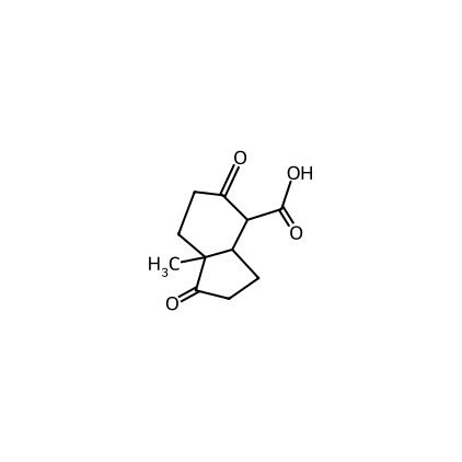 CC12CCC(=O)C(C(=O)O)C1CCC2=O